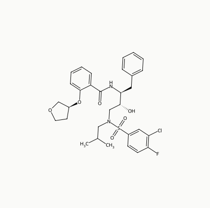 CC(C)CN(C[C@@H](O)[C@H](Cc1ccccc1)NC(=O)c1ccccc1O[C@H]1CCOC1)S(=O)(=O)c1ccc(F)c(Cl)c1